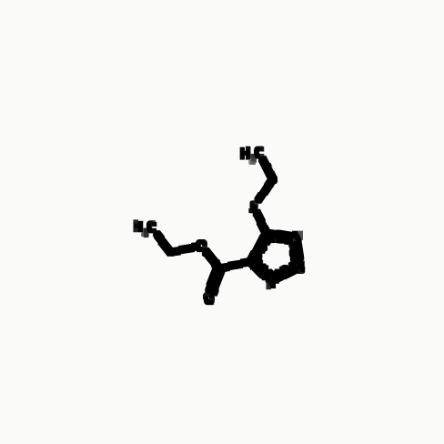 CCOC(=O)c1nsnc1SCC